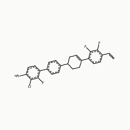 C=Cc1ccc(C2=CCC(c3ccc(-c4ccc(CCC)c(Cl)c4F)cc3)CC2)c(F)c1F